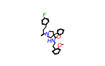 C=C(CCc1ccc(F)cc1)N1CCC(C(=O)NCCc2ccccc2OC)(c2ccccc2)CC1